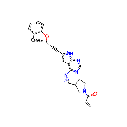 C=CC(=O)N1CCC(/C=N\c2ncnc3[nH]c(C#CCOc4ccccc4OC)cc23)C1